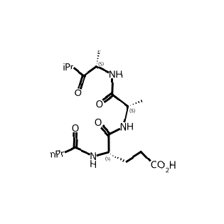 CCCC(=O)N[C@@H](CCC(=O)O)C(=O)N[C@@H](C)C(=O)N[C@@H](C)C(=O)C(C)C